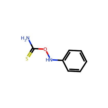 NC(=S)ONc1ccccc1